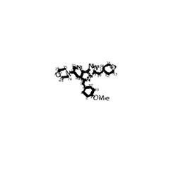 COc1ccc(Cc2nn3c(CC4CCOCC4)nnc3c3ncc(N4CCOCC4)cc23)cc1